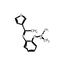 CC(=Nc1ccccc1O[SiH](C)C)c1ccsc1